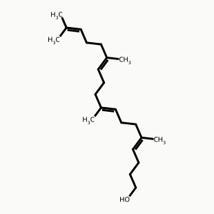 CC(C)=CCCC(C)=CCCC(C)=CCCC(C)=CCCCO